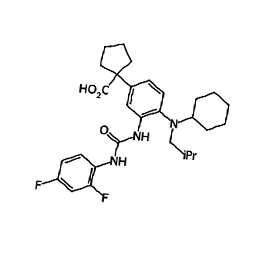 CC(C)CN(c1ccc(C2(C(=O)O)CCCC2)cc1NC(=O)Nc1ccc(F)cc1F)C1CCCCC1